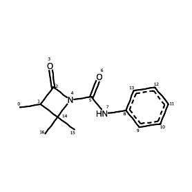 CC1C(=O)N(C(=O)Nc2ccccc2)C1(C)C